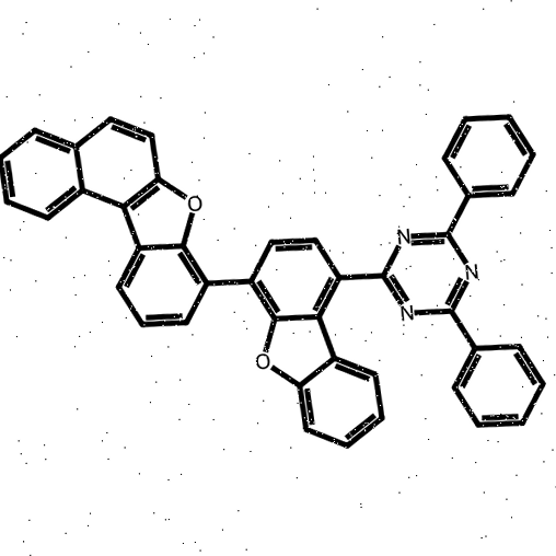 c1ccc(-c2nc(-c3ccccc3)nc(-c3ccc(-c4cccc5c4oc4ccc6ccccc6c45)c4oc5ccccc5c34)n2)cc1